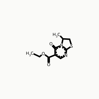 CCOC(=O)c1cnc2n(c1=O)C(C)CS2